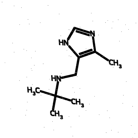 Cc1nc[nH]c1CNC(C)(C)C